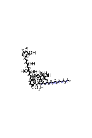 C/C=C/C=C/C=C/C=C/C=C/C=C/C=C/[C@@H](C[C@@H]1O[C@](O)(C[C@@H](O)C[C@@H](O)[C@H](O)CC[C@@H](O)CCCC(=O)O[C@@H](C)[C@H](C)CO)CC[C@H]1C(=O)O)OC1OC(C)C(O)C(N)C1O